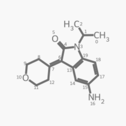 CC(C)N1C(=O)C(=C2CCOCC2)c2cc(N)ccc21